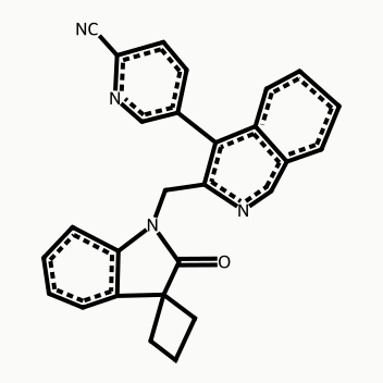 N#Cc1ccc(-c2c(CN3C(=O)C4(CCC4)c4ccccc43)ncc3ccccc23)cn1